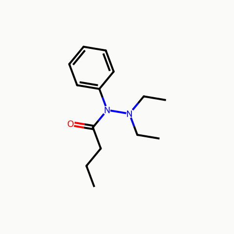 CCCC(=O)N(c1ccccc1)N(CC)CC